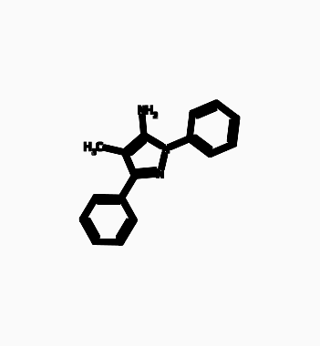 Cc1c(-c2ccccc2)nn(-c2ccccc2)c1N